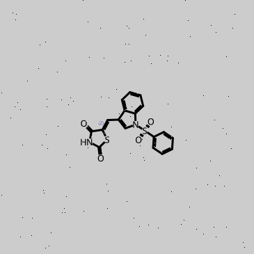 O=C1NC(=O)/C(=C/c2cn(S(=O)(=O)c3ccccc3)c3ccccc23)S1